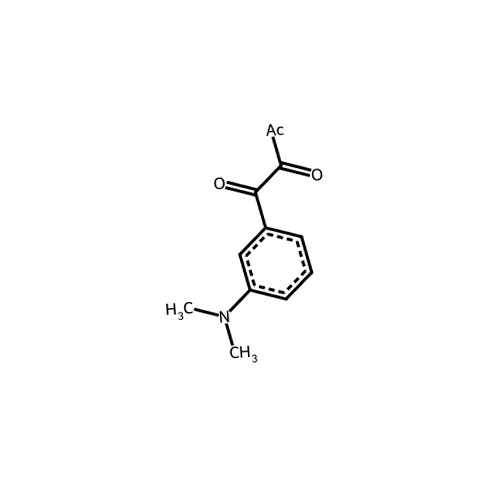 CC(=O)C(=O)C(=O)c1cccc(N(C)C)c1